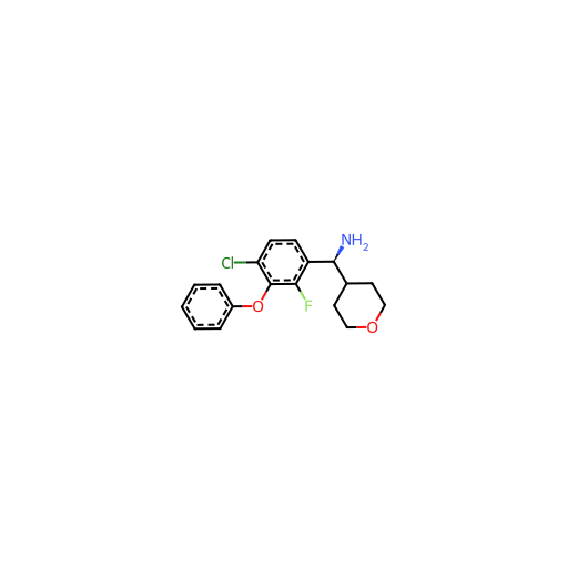 N[C@H](c1ccc(Cl)c(Oc2ccccc2)c1F)C1CCOCC1